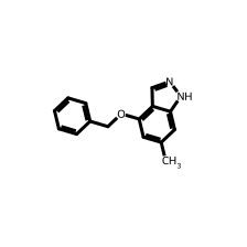 Cc1cc(OCc2ccccc2)c2cn[nH]c2c1